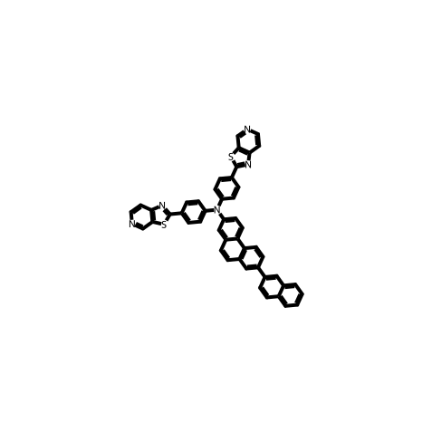 c1ccc2cc(-c3ccc4c(ccc5cc(N(c6ccc(-c7nc8ccncc8s7)cc6)c6ccc(-c7nc8ccncc8s7)cc6)ccc54)c3)ccc2c1